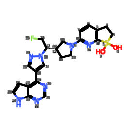 OS1(O)CCc2ccc(N3CC[C@H](C(CF)n4cc(-c5ncnc6[nH]ccc56)cn4)C3)nc21